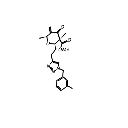 C=C1C(=O)[C@](C)(C(=O)OC)[C@@H](CCc2cn(Cc3cccc(C)c3)nn2)O[C@H]1C